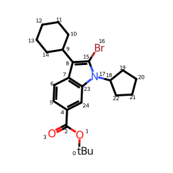 CC(C)(C)OC(=O)c1ccc2c(C3CCCCC3)c(Br)n(C3CCCC3)c2c1